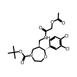 CC(=O)OCC(=O)NC[C@@H]1CN(C(=O)OC(C)(C)C)CCO[C@H]1c1ccc(Cl)c(Cl)c1